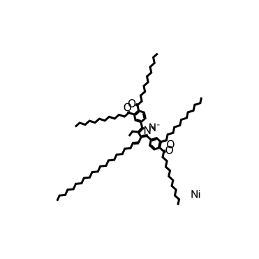 CCCCCCCCCCCCCCCCCCCC=CC1=C(c2ccc(C(=O)CCCCCCCCCCC)c(C(=O)CCCCCCCCCCC)c2)[N+](=[N-])C(c2ccc(C(=O)CCCCCCCCCCC)c(C(=O)CCCCCCCCCCC)c2)=C1CC.[Ni]